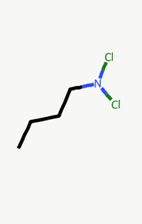 CCCCN(Cl)Cl